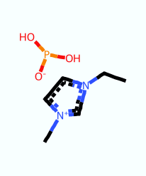 CCn1cc[n+](C)c1.[O-]P(O)O